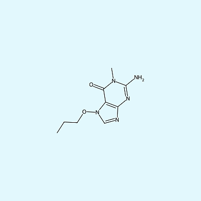 CCCOn1cnc2nc(N)n(C)c(=O)c21